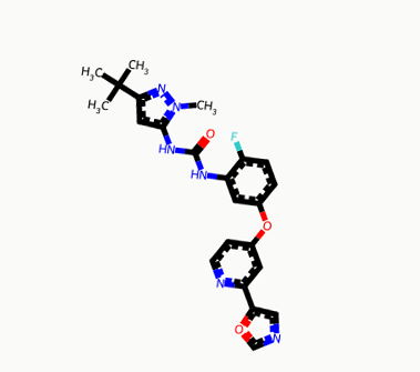 Cn1nc(C(C)(C)C)cc1NC(=O)Nc1cc(Oc2ccnc(-c3cnco3)c2)ccc1F